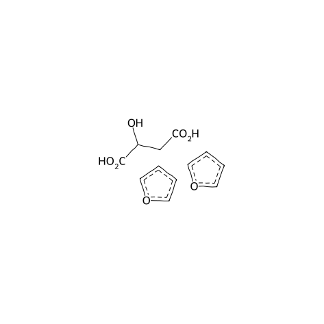 O=C(O)CC(O)C(=O)O.c1ccoc1.c1ccoc1